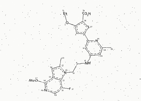 CCOc1cc(-c2cc(NCCn3c(C)cc4c(OC)ncc(F)c43)cc(C)n2)sc1C(=O)O